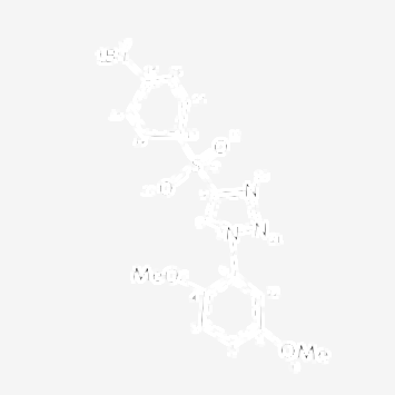 COc1ccc(OC)c(-n2cc(S(=O)(=O)c3ccc(C(C)(C)C)cc3)nn2)c1